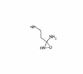 CCCCCC1(N)NO1